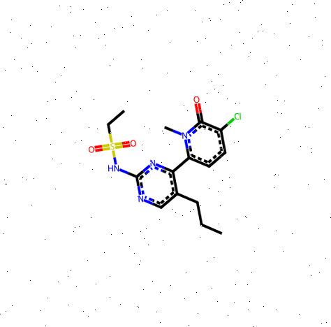 CCCc1cnc(NS(=O)(=O)CC)nc1-c1ccc(Cl)c(=O)n1C